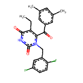 CCc1c(C(=O)c2cc(C)cc(C)c2)n(Cc2cc(F)ccc2F)c(=O)[nH]c1=O